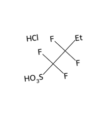 CCC(F)(F)C(F)(F)S(=O)(=O)O.Cl